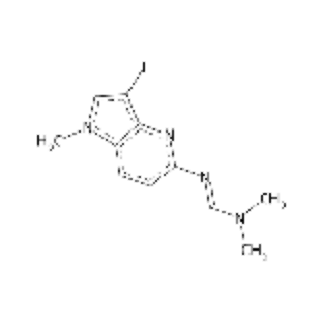 CN(C)C=Nc1ccc2c(n1)c(I)cn2C